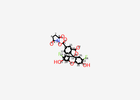 O=C(ON1C(=O)CCC1=O)c1ccc2c(c1)C(=O)OC21c2cc(F)c(O)cc2Oc2cc(O)c(F)cc21